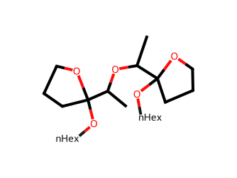 CCCCCCOC1(C(C)OC(C)C2(OCCCCCC)CCCO2)CCCO1